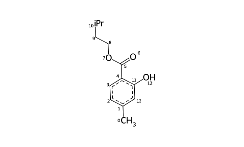 Cc1ccc(C(=O)OCCC(C)C)c(O)c1